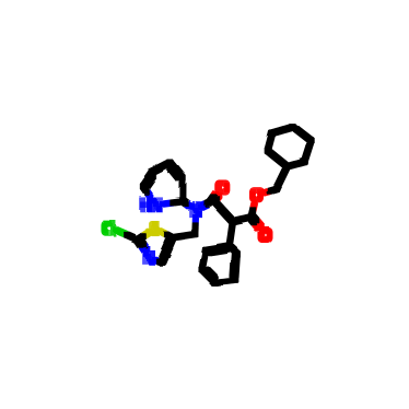 O=C(OCC1CCCCC1)C(C(=O)N(Cc1cnc(Cl)s1)C1C=CC=CN1)c1ccccc1